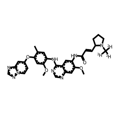 [2H]C([2H])([2H])N1CCCC1C=CC(=O)Nc1cc2c(Nc3cc(C)c(Oc4ccn5ncnc5c4)cc3OC)ncnc2cc1OC